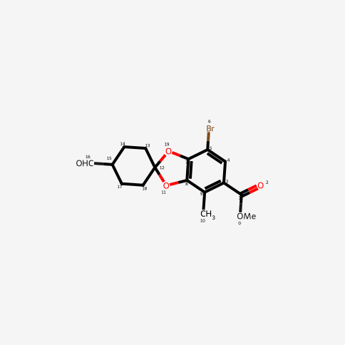 COC(=O)c1cc(Br)c2c(c1C)OC1(CCC(C=O)CC1)O2